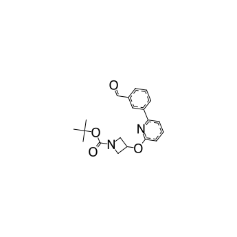 CC(C)(C)OC(=O)N1CC(Oc2cccc(-c3cccc(C=O)c3)n2)C1